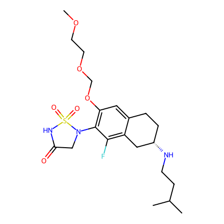 COCCOCOc1cc2c(c(F)c1N1CC(=O)NS1(=O)=O)C[C@@H](NCCC(C)C)CC2